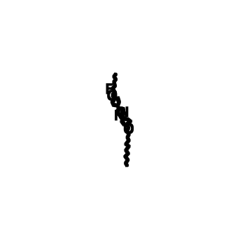 CCCCCCCCCCCCOc1ccc(-c2ncc(-c3ccc(OCC(F)CCCCC)cc3)cn2)cc1